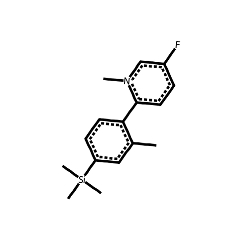 Cc1cc([Si](C)(C)C)ccc1-c1ccc(F)c[n+]1C